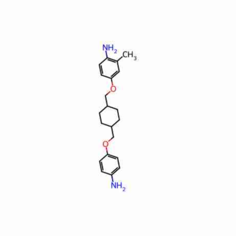 Cc1cc(OCC2CCC(COc3ccc(N)cc3)CC2)ccc1N